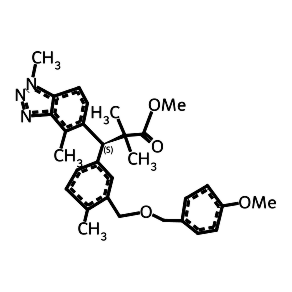 COC(=O)C(C)(C)[C@@H](c1ccc(C)c(COCc2ccc(OC)cc2)c1)c1ccc2c(nnn2C)c1C